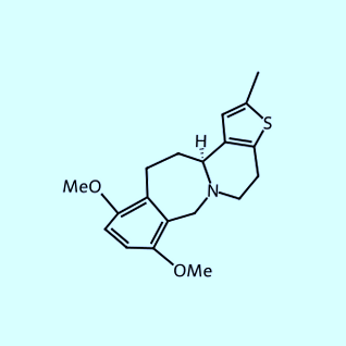 COc1ccc(OC)c2c1CC[C@H]1c3cc(C)sc3CCN1C2